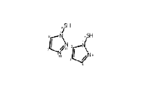 Sn1cccn1.Sn1ccnn1